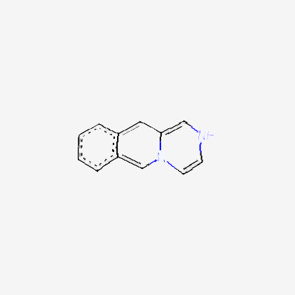 C1=CN2C=c3ccccc3=CC2=CN1